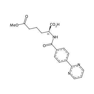 COC(=O)CCC[C@H](NC(=O)c1ccc(-c2ncccn2)cc1)C(=O)O